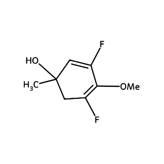 COC1=C(F)CC(C)(O)C=C1F